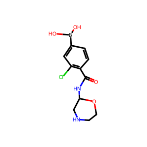 O=C(NC1CNCCO1)c1ccc(B(O)O)cc1Cl